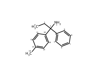 [CH2]CC(N)(c1ccccc1)c1ccc(C)cc1